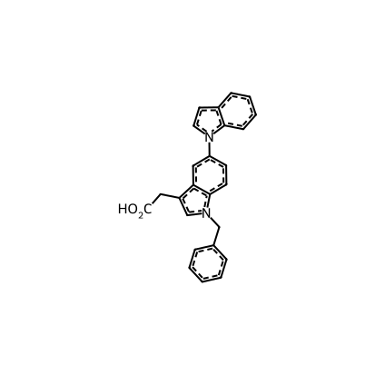 O=C(O)Cc1cn(Cc2ccccc2)c2ccc(-n3ccc4ccccc43)cc12